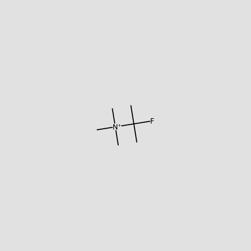 CC(C)(F)[N+](C)(C)C